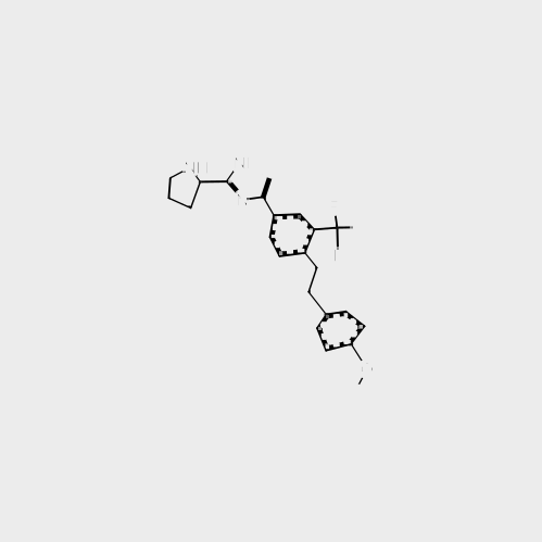 C=C(/N=C(\N)C1CCCN1)c1ccc(CCc2ccc(OC)cc2)c(C(F)(F)F)c1